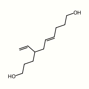 C=CC(C/C=C/CCCO)CCCO